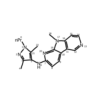 CCCn1nc(C)c(Nc2ccc3c4cnccc4n(C)c3n2)c1C